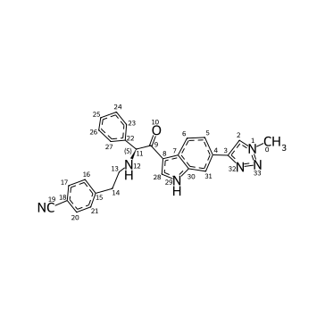 Cn1cc(-c2ccc3c(C(=O)[C@@H](NCCc4ccc(C#N)cc4)c4ccccc4)c[nH]c3c2)nn1